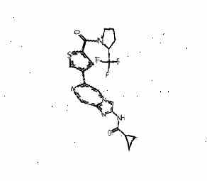 O=C(Nc1cn2cc(-c3csc(C(=O)N4CCCC4C(F)(F)F)c3)ncc2n1)C1CC1